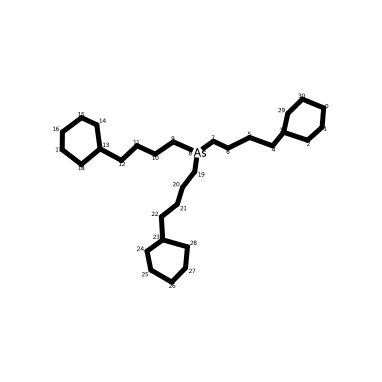 C1CCC(CCCC[As](CCCCC2CCCCC2)CCCCC2CCCCC2)CC1